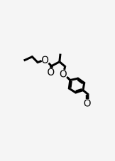 CCCOC(=O)C(C)COc1ccc(C=O)cc1